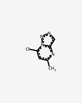 Cc1cc(Cl)n2nncc2n1